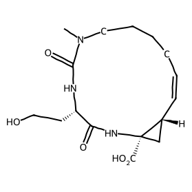 CN1CCCCC=C[C@@H]2C[C@@]2(C(=O)O)NC(=O)[C@H](CCO)NC1=O